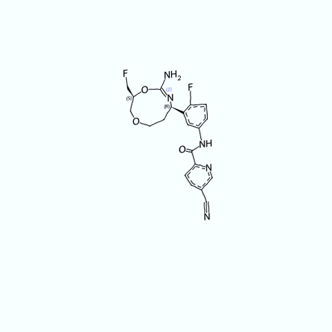 N#Cc1ccc(C(=O)Nc2ccc(F)c([C@H]3CCOC[C@@H](CF)O/C(N)=N\3)c2)nc1